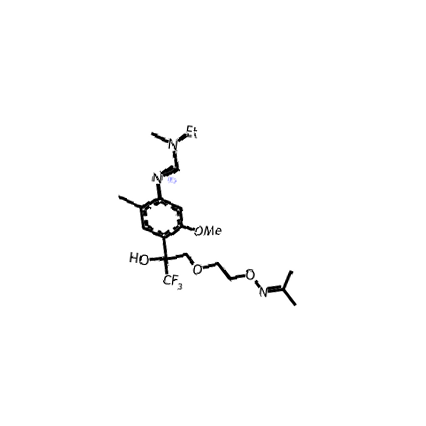 CCN(C)/C=N/c1cc(OC)c(C(O)(COCCON=C(C)C)C(F)(F)F)cc1C